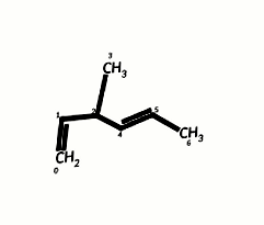 C=CC(C)C=CC